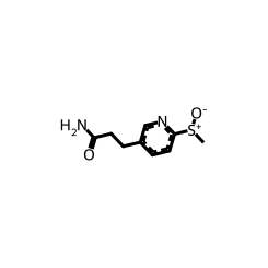 C[S+]([O-])c1ccc(CCC(N)=O)cn1